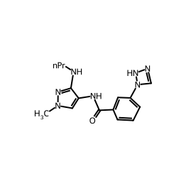 CCCNc1nn(C)cc1NC(=O)c1cccc(-n2cn[nH]2)c1